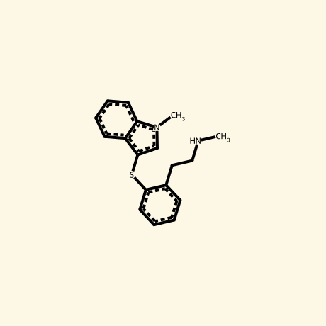 CNCCc1ccccc1Sc1cn(C)c2ccccc12